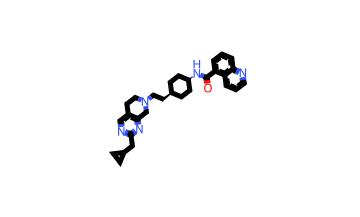 O=C(N[C@H]1CC[C@H](CCN2CCc3cnc(CC4CC4)nc3C2)CC1)c1cccc2ncccc12